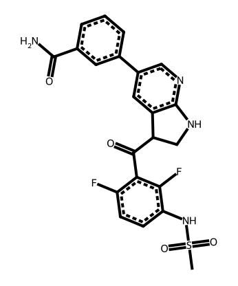 CS(=O)(=O)Nc1ccc(F)c(C(=O)C2CNc3ncc(-c4cccc(C(N)=O)c4)cc32)c1F